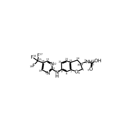 O=C(O)N[C@H]1COc2cc(Nc3ncc(C(F)(F)F)cn3)ccc2C1